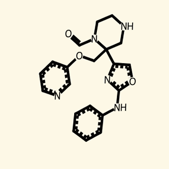 O=CN1CCNCC1(COc1cccnc1)c1coc(Nc2ccccc2)n1